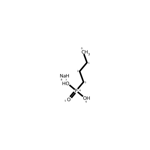 CCCCP(=O)(O)O.[NaH]